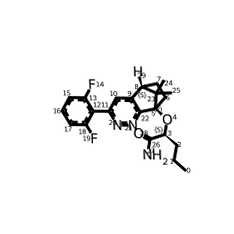 CCC[C@H](O[C@@]12CC[C@@H](c3cc(-c4c(F)cccc4F)nnc31)C2(C)C)C(N)=O